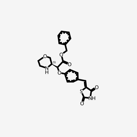 O=C1NC(=O)C(=Cc2ccc(OC(C(=O)OCc3ccccc3)[C@@H]3COCCN3)cc2)S1